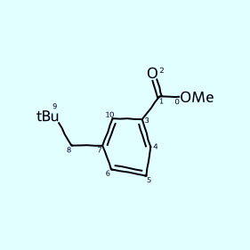 COC(=O)c1cccc(CC(C)(C)C)c1